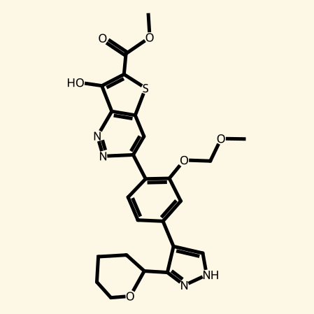 COCOc1cc(-c2c[nH]nc2C2CCCCO2)ccc1-c1cc2sc(C(=O)OC)c(O)c2nn1